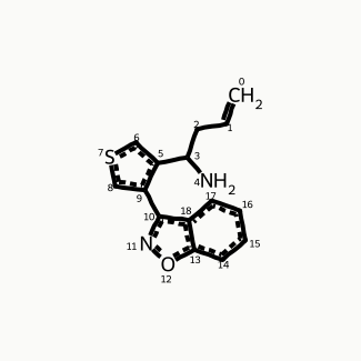 C=CCC(N)c1cscc1-c1noc2ccccc12